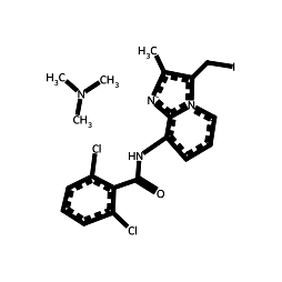 CN(C)C.Cc1nc2c(NC(=O)c3c(Cl)cccc3Cl)cccn2c1CI